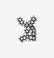 c1ccc2cc(C3=NC(c4ccc(-n5c6cc7ccccc7cc6c6cc7ccccc7cc65)cc4-c4cccc5sc6ccccc6c45)NC(c4ccc5ccccc5c4)=N3)ccc2c1